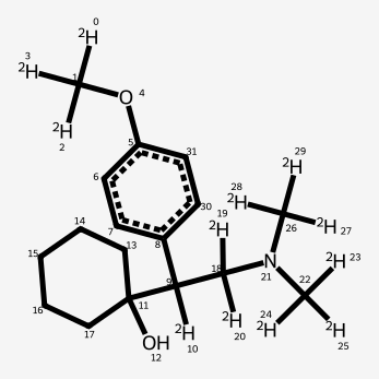 [2H]C([2H])([2H])Oc1ccc(C([2H])(C2(O)CCCCC2)C([2H])([2H])N(C([2H])([2H])[2H])C([2H])([2H])[2H])cc1